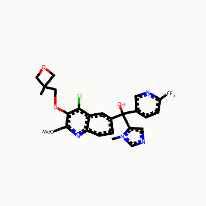 COc1nc2ccc(C(O)(c3ccc(C(F)(F)F)nc3)c3cncn3C)cc2c(Cl)c1OCC1(C)COC1